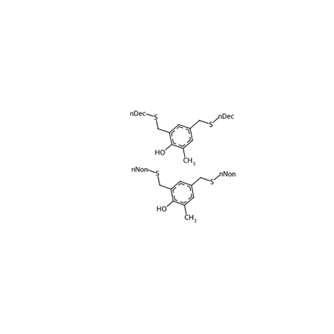 CCCCCCCCCCSCc1cc(C)c(O)c(CSCCCCCCCCCC)c1.CCCCCCCCCSCc1cc(C)c(O)c(CSCCCCCCCCC)c1